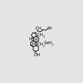 CC(C)CCCC(C)[C@H]1CC[C@H]2[C@@H]3CC=C4C[C@@H](O)CC[C@]4(C)[C@H]3CC[C@]12C.[SeH2]